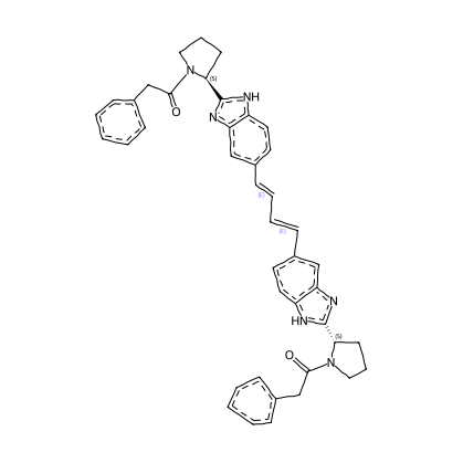 O=C(Cc1ccccc1)N1CCC[C@H]1c1nc2cc(/C=C/C=C/c3ccc4[nH]c([C@@H]5CCCN5C(=O)Cc5ccccc5)nc4c3)ccc2[nH]1